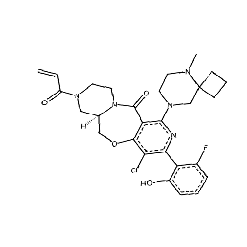 C=CC(=O)N1CCN2C(=O)c3c(N4CCN(C)C5(CCC5)C4)nc(-c4c(O)cccc4F)c(Cl)c3OC[C@H]2C1